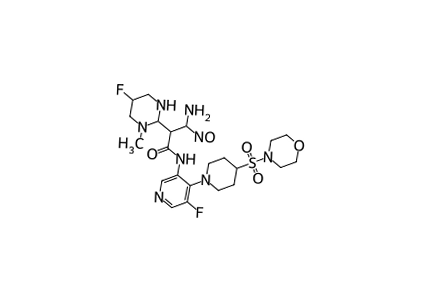 CN1CC(F)CNC1C(C(=O)Nc1cncc(F)c1N1CCC(S(=O)(=O)N2CCOCC2)CC1)C(N)N=O